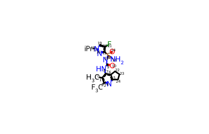 Cc1c(C(F)(F)F)nc2c(c1NC(=O)N=[S@@](N)(=O)c1nn(C(C)C)cc1F)CCC2